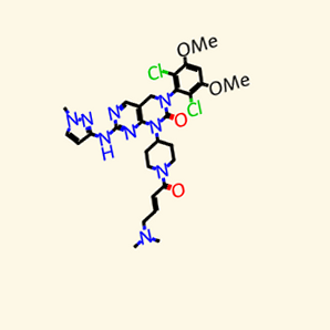 COc1cc(OC)c(Cl)c(N2Cc3cnc(Nc4ccn(C)n4)nc3N(C3CCN(C(=O)C=CCN(C)C)CC3)C2=O)c1Cl